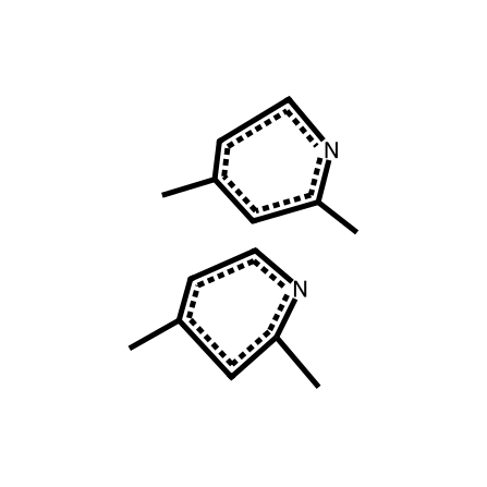 Cc1ccnc(C)c1.Cc1ccnc(C)c1